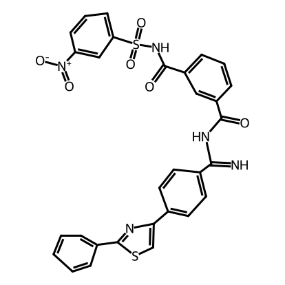 N=C(NC(=O)c1cccc(C(=O)NS(=O)(=O)c2cccc([N+](=O)[O-])c2)c1)c1ccc(-c2csc(-c3ccccc3)n2)cc1